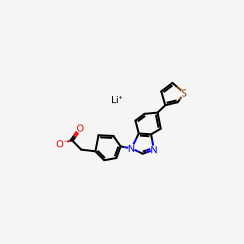 O=C([O-])Cc1ccc(-n2cnc3cc(-c4ccsc4)ccc32)cc1.[Li+]